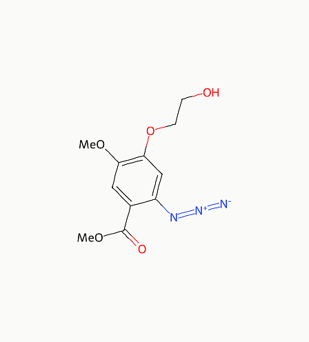 COC(=O)c1cc(OC)c(OCCO)cc1N=[N+]=[N-]